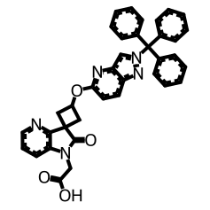 O=C(O)CN1C(=O)C2(CC(Oc3ccc4nn(C(c5ccccc5)(c5ccccc5)c5ccccc5)cc4n3)C2)c2ncccc21